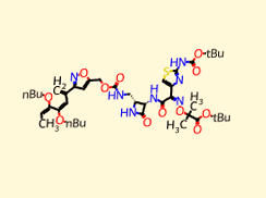 C=C(/C=C(OCCCC)\C(=C/C)OCCCC)c1cc(COC(=O)NC[C@H]2NC(=O)[C@H]2NC(=O)/C(=N\OC(C)(C)C(=O)OC(C)(C)C)c2csc(NC(=O)OC(C)(C)C)n2)on1